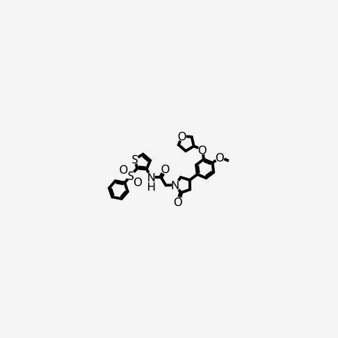 COc1ccc(C2CC(=O)N(CC(=O)Nc3ccsc3S(=O)(=O)c3ccccc3)C2)cc1OC1CCOC1